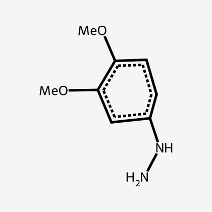 COc1ccc(NN)cc1OC